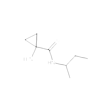 CCC(C)NC(=O)C1(N)CC1